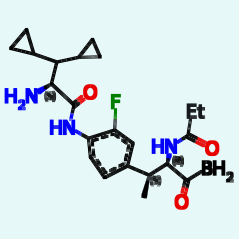 BC(=O)[C@H](NC(=O)CC)[C@@H](C)c1ccc(NC(=O)[C@@H](N)C(C2CC2)C2CC2)c(F)c1